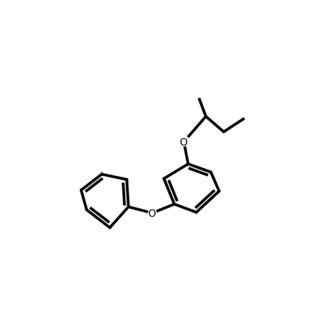 CCC(C)Oc1cccc(Oc2c[c]ccc2)c1